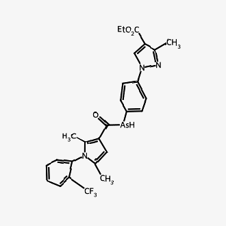 CCOC(=O)c1cn(-c2ccc([AsH]C(=O)c3cc(C)n(-c4ccccc4C(F)(F)F)c3C)cc2)nc1C